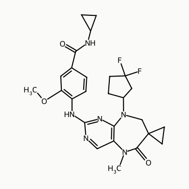 COc1cc(C(=O)NC2CC2)ccc1Nc1ncc2c(n1)N(C1CCC(F)(F)C1)CC1(CC1)C(=O)N2C